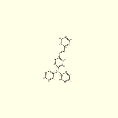 C(=Cc1ccc(C(c2ccccc2)c2ccccc2)cc1)c1ccccc1